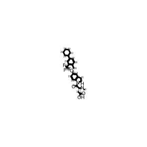 CN[C@H](CC(=O)O)C(=O)N1CCc2cc(OCc3ccc(C4CCCCC4)cc3C(F)(F)F)ccc21